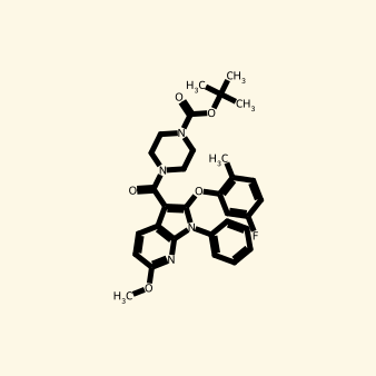 COc1ccc2c(C(=O)N3CCN(C(=O)OC(C)(C)C)CC3)c(Oc3cc(F)ccc3C)n(-c3ccccc3)c2n1